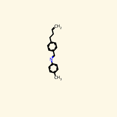 C=CCCc1ccc(C=Nc2ccc(C)cc2)cc1